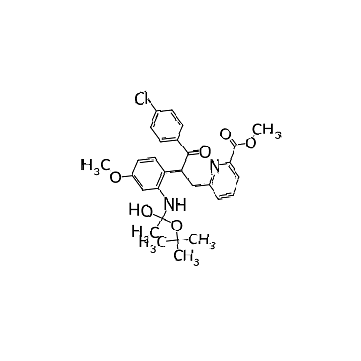 COC(=O)c1cccc(CC(C(=O)c2ccc(Cl)cc2)c2ccc(OC)cc2NC(C)(O)OC(C)(C)C)n1